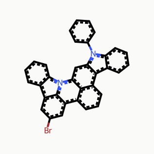 Brc1cc2c3cccc4c5c6ccccc6n(-c6ccccc6)c5cc(c34)n3c4ccccc4c(c1)c23